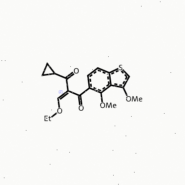 CCO/C=C(\C(=O)c1ccc2scc(OC)c2c1OC)C(=O)C1CC1